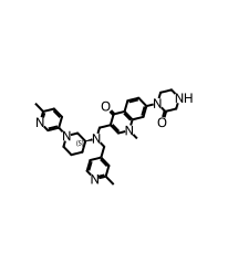 Cc1ccc(N2CCC[C@H](N(Cc3ccnc(C)c3)Cc3cn(C)c4cc(N5CCNCC5=O)ccc4c3=O)C2)cn1